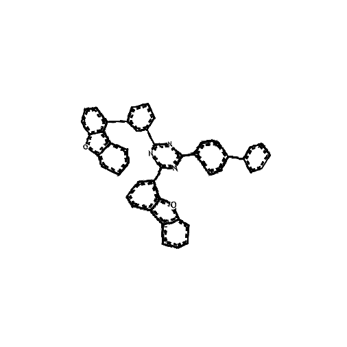 c1ccc(-c2ccc(-c3nc(-c4cccc(-c5cccc6oc7ccccc7c56)c4)nc(-c4cccc5c4oc4ccccc45)n3)cc2)cc1